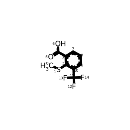 CSc1c(C(=O)O)cccc1C(F)(F)F